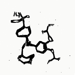 NS(=O)(=O)c1ccc(N(Cc2cncs2)c2ccc(OC(F)F)c(OC(F)F)c2)cc1